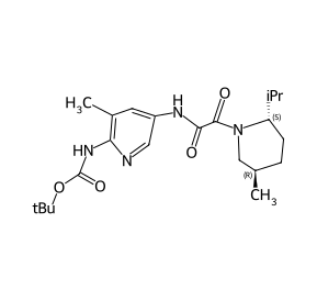 Cc1cc(NC(=O)C(=O)N2C[C@H](C)CC[C@H]2C(C)C)cnc1NC(=O)OC(C)(C)C